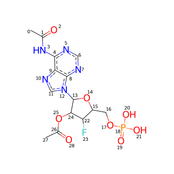 CC(=O)Nc1ncnc2c1ncn2C1OC(COP(=O)(O)O)C(F)C1OC(C)=O